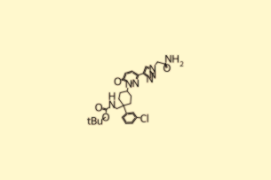 CC(C)(C)OC(=O)NCC1(c2cccc(Cl)c2)CCC(n2nc(-c3cn(CC(N)=O)nn3)ccc2=O)CC1